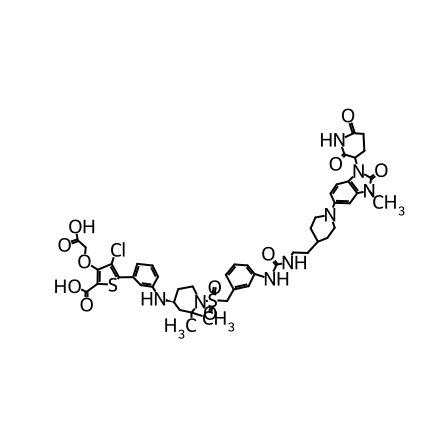 Cn1c(=O)n(C2CCC(=O)NC2=O)c2ccc(N3CCC(CCNC(=O)Nc4cccc(CS(=O)(=O)N5CC[C@H](Nc6cccc(-c7sc(C(=O)O)c(OCC(=O)O)c7Cl)c6)CC5(C)C)c4)CC3)cc21